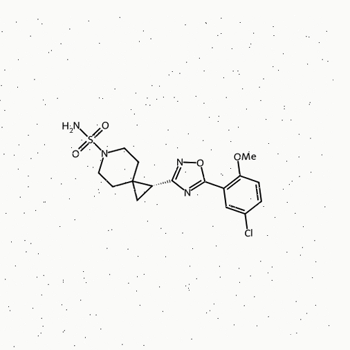 COc1ccc(Cl)cc1-c1nc([C@@H]2CC23CCN(S(N)(=O)=O)CC3)no1